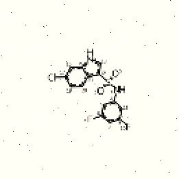 O=S(=O)(Nc1cc(F)cc(F)c1)c1c[nH]c2cc(Cl)ccc12